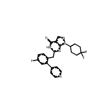 O=c1[nH]c(Cc2ccc(F)cc2-c2ccncc2)nc2c1cnn2C1CCC(F)(F)CC1